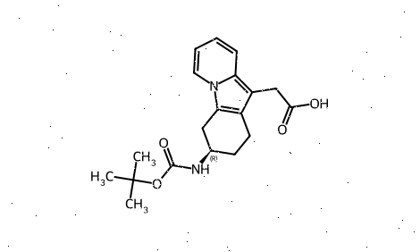 CC(C)(C)OC(=O)N[C@@H]1CCc2c(CC(=O)O)c3ccccn3c2C1